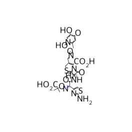 CC(C)(O/N=C(\C(=O)N[C@@H]1C(=O)N2C(C(=O)O)=C(C=NOCc3cc(=O)c(O)cn3O)CS[C@H]12)c1csc(N)n1)C(=O)O